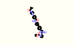 CC(C)(C)OC(=O)N1CCC[C@H]1c1nc(-c2ccc(-c3ccc(NC(=O)c4ccc(N5CCN(C(=O)C6CC6)CC5)cc4)cc3)cc2)c[nH]1